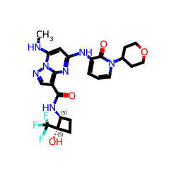 CNc1cc(Nc2cccn(C3CCOCC3)c2=O)nc2c(C(=O)N[C@H]3CC[C@@]3(O)C(F)(F)F)cnn12